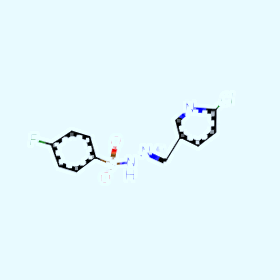 O=S(=O)(N/N=C/c1ccc(Cl)nc1)c1ccc(F)cc1